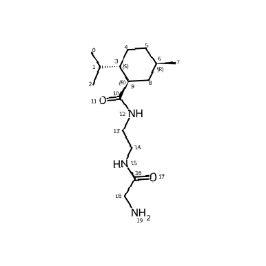 CC(C)[C@@H]1CC[C@@H](C)C[C@H]1C(=O)NCCNC(=O)CN